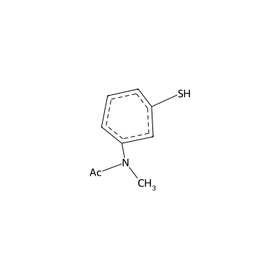 CC(=O)N(C)c1cccc(S)c1